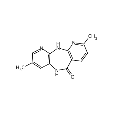 Cc1cnc2c(c1)NC(=O)c1ccc(C)nc1N2